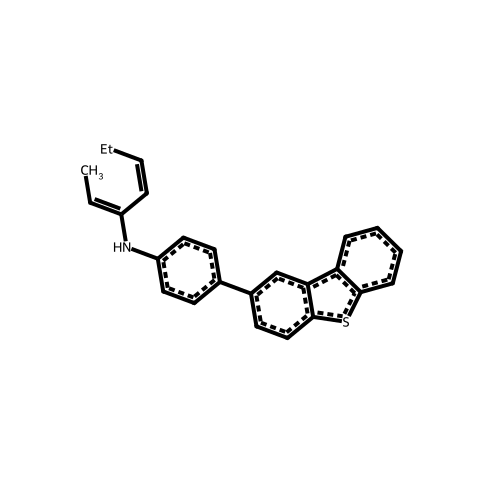 C/C=C(\C=C/CC)Nc1ccc(-c2ccc3sc4ccccc4c3c2)cc1